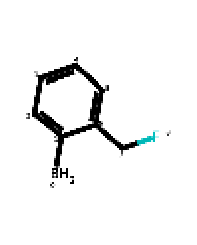 Bc1ccccc1CF